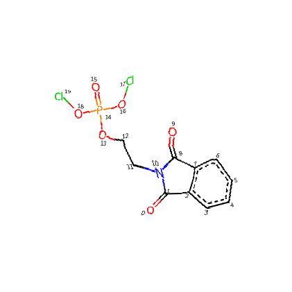 O=C1c2ccccc2C(=O)N1CCOP(=O)(OCl)OCl